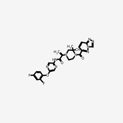 C=C(C(=O)Nc1cnc(Oc2ccc(F)cc2F)cn1)N1CCN(C(=O)c2ccc3nncn3n2)C(C)(C)C1